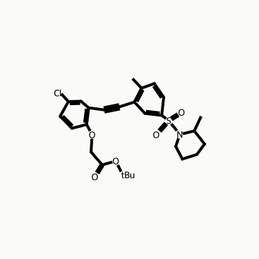 Cc1ccc(S(=O)(=O)N2CCCCC2C)cc1C#Cc1cc(Cl)ccc1OCC(=O)OC(C)(C)C